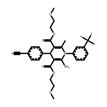 COCCOC(=O)C1=C(C)N(c2cccc(C(F)(F)F)c2)C(N)=C(C(=O)OCCOC)C1c1ccc(C#N)cc1